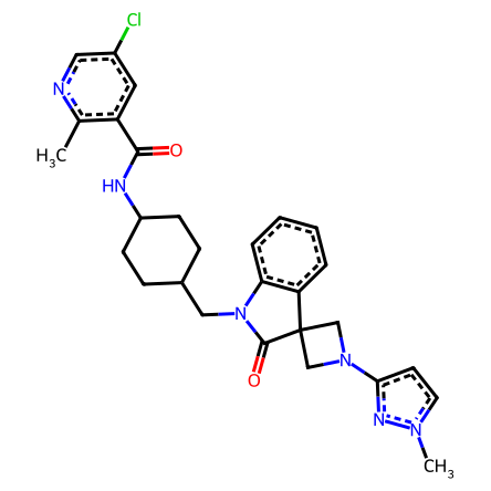 Cc1ncc(Cl)cc1C(=O)NC1CCC(CN2C(=O)C3(CN(c4ccn(C)n4)C3)c3ccccc32)CC1